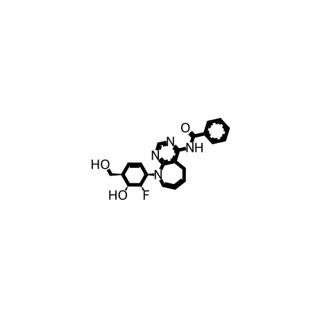 O=C(Nc1ncnc2c1CC=C=CN2[C@@H]1C=C[C@H](CO)[C@@H](O)[C@H]1F)c1ccccc1